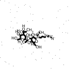 CCC(C)(O)C1C(O)[C@H](C2(CC)OC3C(O)[C@H](N(CCCN=[N+]=[N-])OC)OC(CO)[C@H]3O2)OC(CO)[C@H]1O